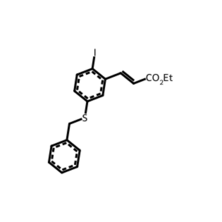 CCOC(=O)/C=C/c1cc(SCc2ccccc2)ccc1I